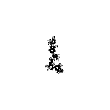 COc1cc(-c2cn(C)c(=O)c3cc(C(=O)NC4CN(c5ccc6c(c5)C(=O)N(C5CCC(=O)NC5=O)C6)CC4(F)F)sc23)cc(OC)c1CN(C)C